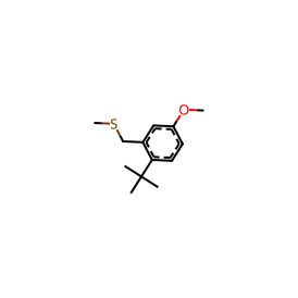 COc1ccc(C(C)(C)C)c(CSC)c1